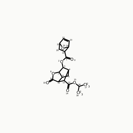 O=C(OC1C2CC3C1OC(=O)C3C2C(=O)OC(C(F)(F)F)C(F)(F)F)C1CC2C=CC1O2